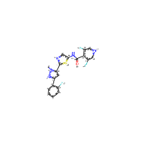 Cn1nc(-c2ccccc2F)cc1-c1ncc(NC(=O)c2c(F)cncc2F)s1